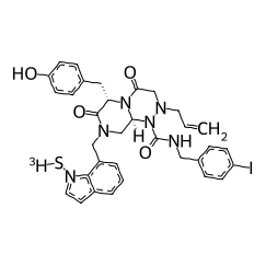 [3H]Sn1ccc2cccc(CN3C[C@H]4N(C(=O)CN(CC=C)N4C(=O)NCc4ccc(I)cc4)[C@@H](Cc4ccc(O)cc4)C3=O)c21